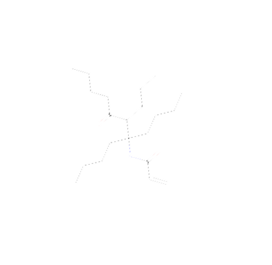 C=CC(=O)NC(CCCC)(CCCC)C(CCC)C(=O)CCCC